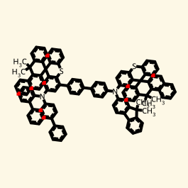 CC1(C)c2ccccc2-c2ccc(N(c3ccc(-c4ccc(-c5cc(N(c6ccc(-c7ccccc7)cc6)c6ccccc6-c6ccccc6)cc6c5Sc5ccccc5C65c6ccccc6C(C)(C)c6c5ccc5ccccc65)cc4)cc3)c3ccc4c(c3)C3(c5ccccc5S4)c4ccccc4C(C)(C)c4c3ccc3ccccc43)cc21